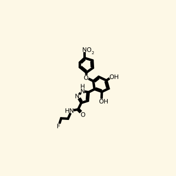 O=C(NCCF)c1cc(-c2c(O)cc(O)cc2Oc2ccc([N+](=O)[O-])cc2)[nH]n1